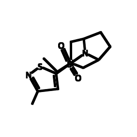 CCN1CC2CCC(C1)N2S(=O)(=O)c1cc(C)ns1